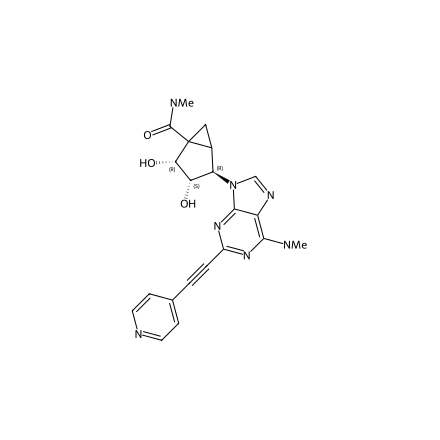 CNC(=O)C12CC1[C@@H](n1cnc3c(NC)nc(C#Cc4ccncc4)nc31)[C@H](O)[C@@H]2O